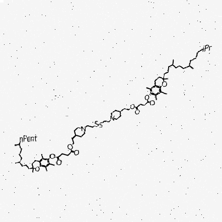 CCCCCC(C)CCCC(C)CCCC1(C)CCc2c(C)c(OC(=O)CCC(=O)OCCC3CCN(CCSSCCN4CCC(CCOC(=O)CCC(=O)Oc5c(C)c(C)c6c(c5C)CCC(C)(CCCC(C)CCCC(C)CCCC(C)C)O6)CC4)CC3)c(C)c(C)c2O1